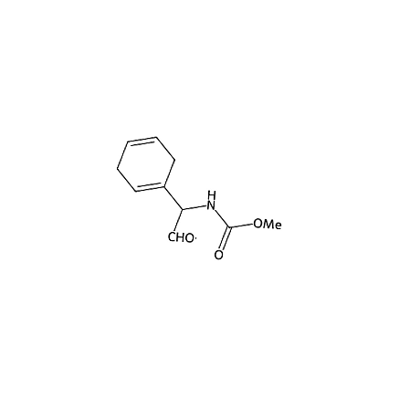 COC(=O)NC([C]=O)C1=CCC=CC1